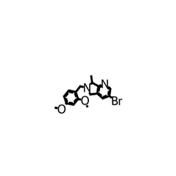 COc1ccc(CN2Cc3cc(Br)cnc3C2C)c(OC)c1